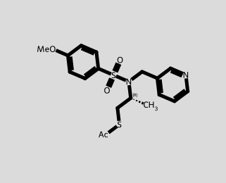 COc1ccc(S(=O)(=O)N(Cc2cccnc2)[C@H](C)CSC(C)=O)cc1